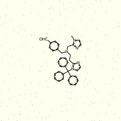 Cn1ccnc1CN(CCc1nccn1C(c1ccccc1)(c1ccccc1)c1ccccc1)Cc1ccc(C=O)cc1